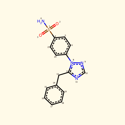 NS(=O)(=O)c1ccc(-n2ncnc2Cc2ccccc2)cc1